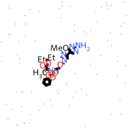 CCC(CC)OC(=O)[C@@H](C)N[P@](=O)(OCCOCn1cnc(-c2cnc(N)nc2OC)c1)Oc1ccccc1